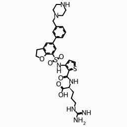 N=C(N)NCCC[C@H](NC(=O)c1sccc1NS(=O)(=O)c1cc(-c2cccc(CN3CCNCC3)c2)cc2c1OCC2)C(=O)O